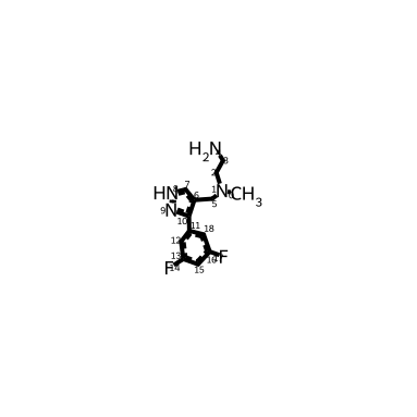 CN(CCN)Cc1c[nH]nc1-c1cc(F)cc(F)c1